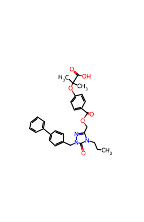 CCCn1c(COC(=O)c2ccc(OC(C)(C)C(=O)O)cc2)nn(Cc2ccc(-c3ccccc3)cc2)c1=O